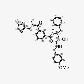 COc1ccc(CNC[C@@H](O)[C@H](Cc2ccccc2)NC(=O)c2cccc(C(=O)N(C)Cc3nc(C)cs3)c2)cc1